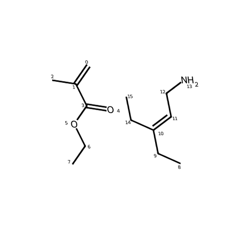 C=C(C)C(=O)OCC.CCC(=CCN)CC